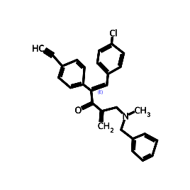 C#Cc1ccc(/C(=C\c2ccc(Cl)cc2)C(=O)C(=C)CN(C)Cc2ccccc2)cc1